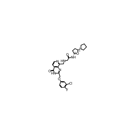 O=C(CNCc1nccc2c(=O)[nH]c(COc3ccc(F)c(Cl)c3)nc12)N[C@@H]1CC[C@@H](N2CCCC2)O1